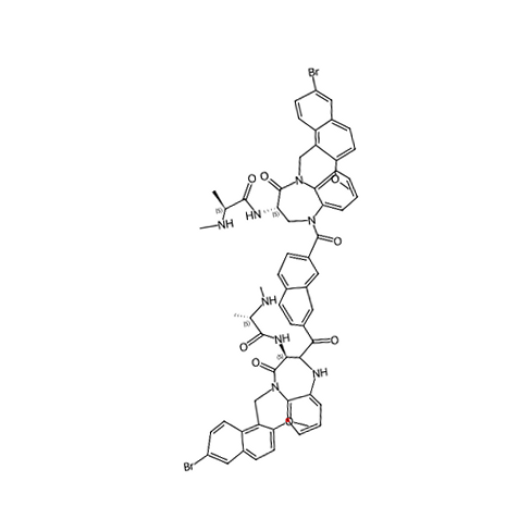 CN[C@@H](C)C(=O)N[C@H]1CN(C(=O)c2ccc3ccc(C(=O)C4Nc5ccccc5N(Cc5c(OC)ccc6cc(Br)ccc56)C(=O)[C@H]4NC(=O)[C@H](C)NC)cc3c2)c2ccccc2N(Cc2c(OC)ccc3cc(Br)ccc23)C1=O